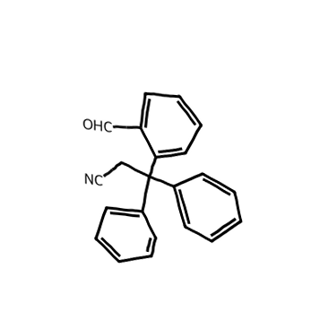 N#CCC(c1ccccc1)(c1ccccc1)c1ccccc1C=O